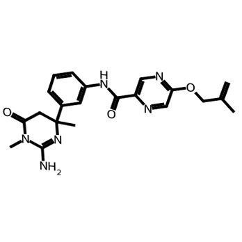 C=C(C)COc1cnc(C(=O)Nc2cccc(C3(C)CC(=O)N(C)C(N)=N3)c2)cn1